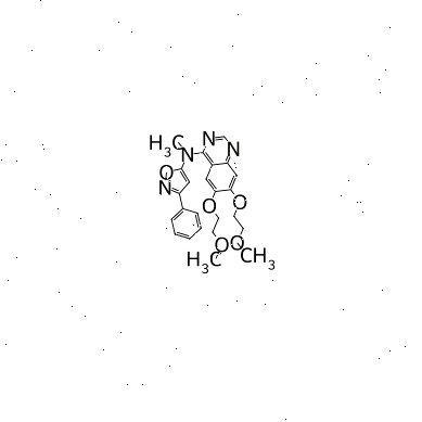 COCCOc1cc2ncnc(N(C)c3cc(-c4ccccc4)no3)c2cc1OCCOC